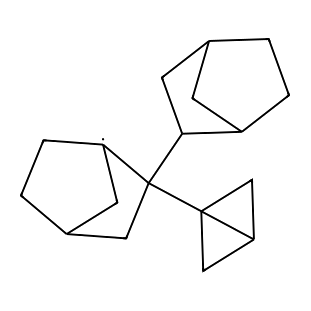 C1CC2C[C]1C(C1CC3CCC1C3)(C13CC1C3)C2